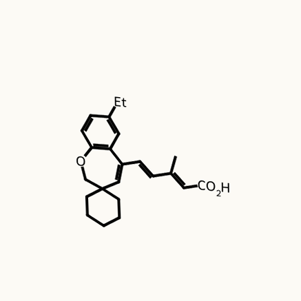 CCc1ccc2c(c1)C(/C=C/C(C)=C/C(=O)O)=CC1(CCCCC1)CO2